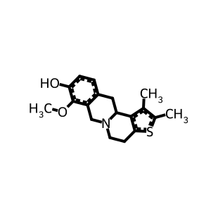 COc1c(O)ccc2c1CN1CCc3sc(C)c(C)c3C1C2